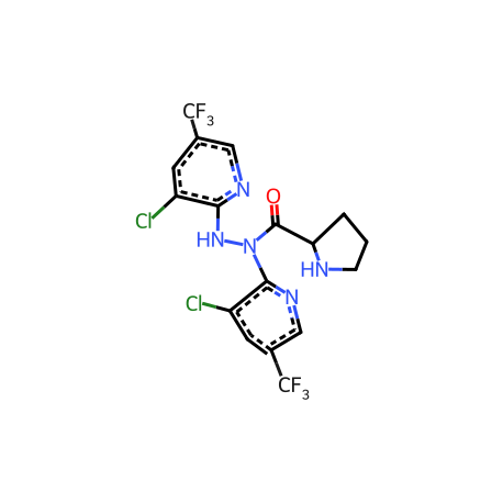 O=C(C1CCCN1)N(Nc1ncc(C(F)(F)F)cc1Cl)c1ncc(C(F)(F)F)cc1Cl